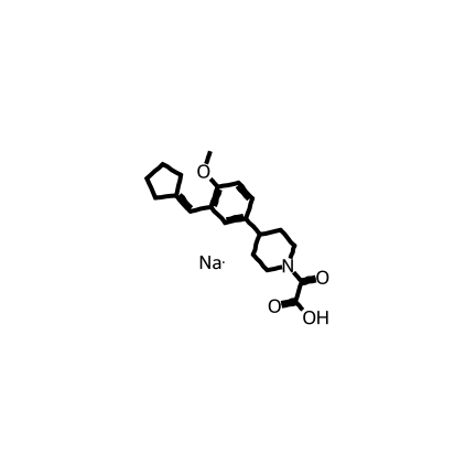 COc1ccc(C2CCN(C(=O)C(=O)O)CC2)cc1C=C1CCCC1.[Na]